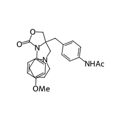 COc1ccc(N2C(=O)OCC2(Cc2ccc(NC(C)=O)cc2)CN2CCCCC2)cc1